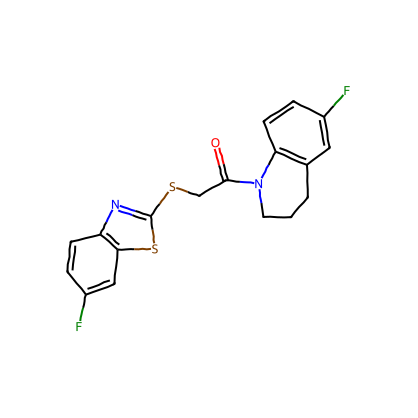 O=C(CSc1nc2ccc(F)cc2s1)N1CCCc2cc(F)ccc21